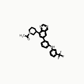 CC(=O)N1CCCC(c2cc(-c3cccc(Nc4cccc(C(F)(F)F)c4)c3)cc3cncnc23)C1